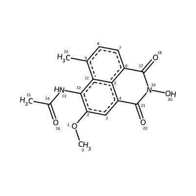 COc1cc2c3c(ccc(C)c3c1NC(C)=O)C(=O)N(O)C2=O